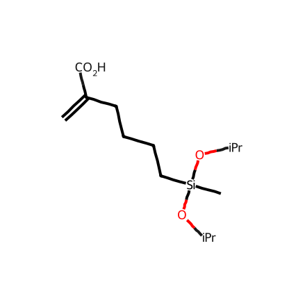 C=C(CCCC[Si](C)(OC(C)C)OC(C)C)C(=O)O